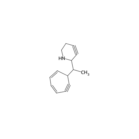 CC(C1C#CC=CC=C1)C1C#CCCN1